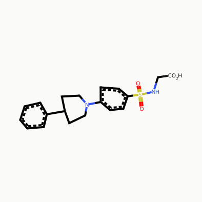 O=C(O)CNS(=O)(=O)c1ccc(N2CCC(c3ccccc3)CC2)cc1